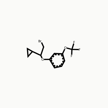 FC(F)(F)Oc1cccc(OC(CBr)C2CC2)c1